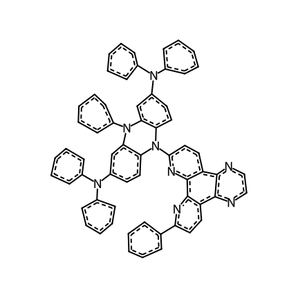 c1ccc(-c2ccc3c4nccnc4c4ccc(N5c6ccc(N(c7ccccc7)c7ccccc7)cc6N(c6ccccc6)c6cc(N(c7ccccc7)c7ccccc7)ccc65)nc4c3n2)cc1